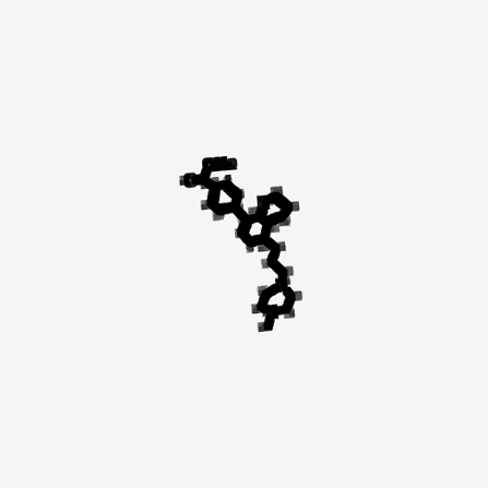 COC(=O)c1ccc(-c2ccc(CCCN3CCN(C)CC3)c3cccnc23)cc1